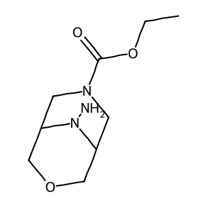 CCOC(=O)N1CC2COCC(C1)N2N